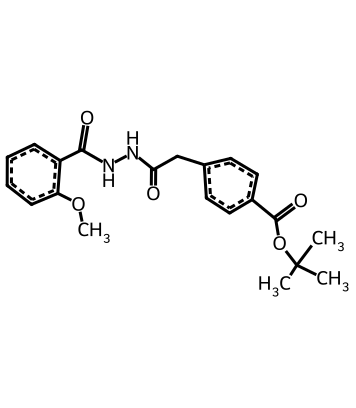 COc1ccccc1C(=O)NNC(=O)Cc1ccc(C(=O)OC(C)(C)C)cc1